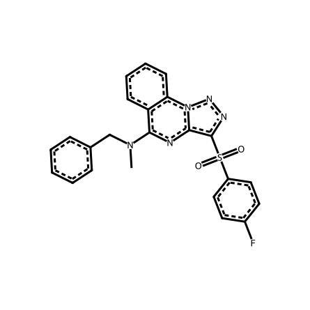 CN(Cc1ccccc1)c1nc2c(S(=O)(=O)c3ccc(F)cc3)nnn2c2ccccc12